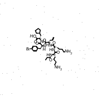 C=CC[C@H](NC(=O)[C@H](CCCCN)NC(=O)[C@H](CCCCN)NC(=O)CC)C(=O)N[C@@H](Cc1ccc(Br)cc1)C(=O)N[C@@H](CC1CCCC1)C(=O)O